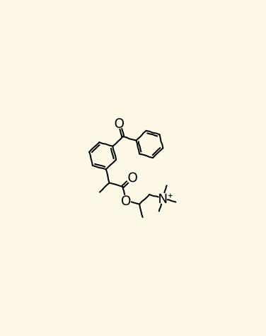 CC(C[N+](C)(C)C)OC(=O)C(C)c1cccc(C(=O)c2ccccc2)c1